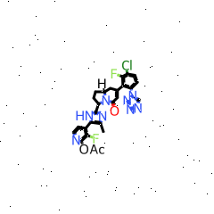 CC(=O)Oc1nccc(-c2[nH]c(C3CC[C@@H]4CC(c5c(-n6cnnn6)ccc(Cl)c5F)=CC(=O)N34)nc2C)c1F